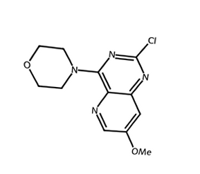 COc1cnc2c(N3CCOCC3)nc(Cl)nc2c1